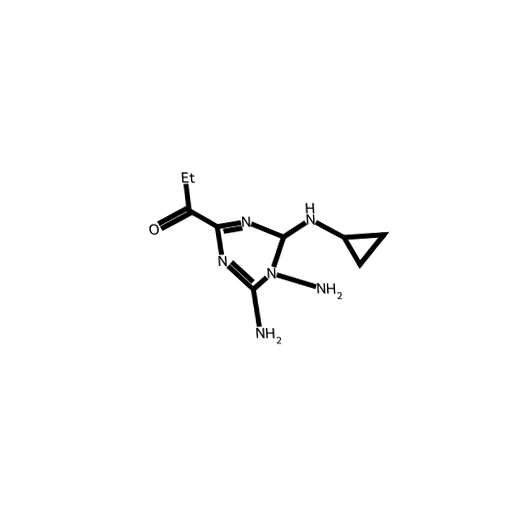 CCC(=O)C1=NC(NC2CC2)N(N)C(N)=N1